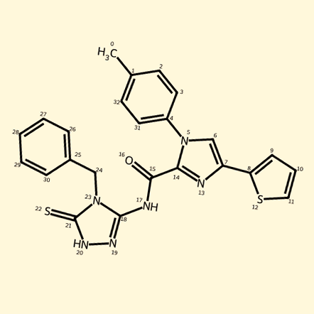 Cc1ccc(-n2cc(-c3cccs3)nc2C(=O)Nc2n[nH]c(=S)n2Cc2ccccc2)cc1